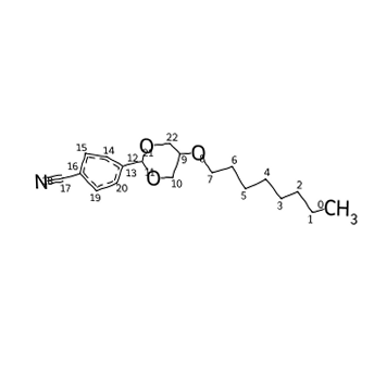 CCCCCCCCOC1COC(c2ccc(C#N)cc2)OC1